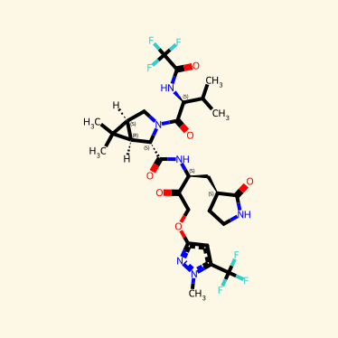 CC(C)[C@H](NC(=O)C(F)(F)F)C(=O)N1C[C@H]2[C@@H]([C@H]1C(=O)N[C@@H](C[C@@H]1CCNC1=O)C(=O)COc1cc(C(F)(F)F)n(C)n1)C2(C)C